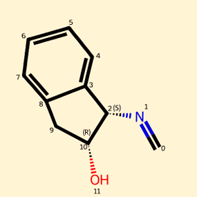 C=N[C@H]1c2ccccc2C[C@H]1O